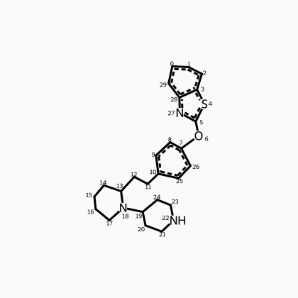 c1ccc2sc(Oc3ccc(CCC4CCCCN4C4CCNCC4)cc3)nc2c1